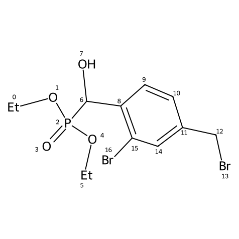 CCOP(=O)(OCC)C(O)c1ccc(CBr)cc1Br